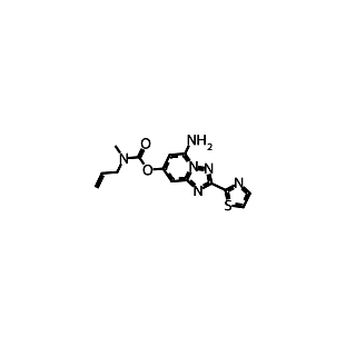 C=CCN(C)C(=O)Oc1cc(N)n2nc(-c3nccs3)nc2c1